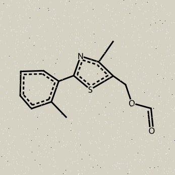 Cc1ccccc1-c1nc(C)c(CO[C]=O)s1